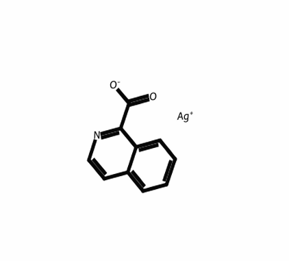 O=C([O-])c1nccc2ccccc12.[Ag+]